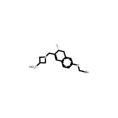 CCC(C)COc1ccc2c(c1)C[C@@H](C)C(CN1CC(C(=O)O)C1)=C2